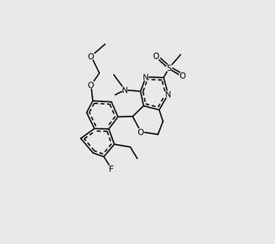 CCc1c(F)ccc2cc(OCOC)cc(C3OCCc4nc(S(C)(=O)=O)nc(N(C)C)c43)c12